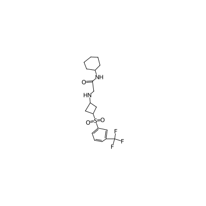 O=C(CNC1CC(S(=O)(=O)c2cccc(C(F)(F)F)c2)C1)NC1CCCCC1